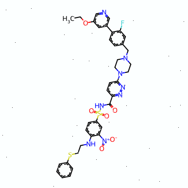 CCOc1cncc(-c2ccc(CN3CCN(c4ccc(C(=O)NS(=O)(=O)c5ccc(NCCSc6ccccc6)c([N+](=O)[O-])c5)nn4)CC3)cc2F)c1